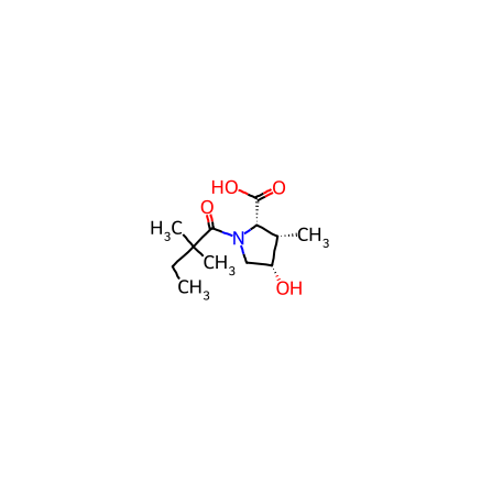 CCC(C)(C)C(=O)N1C[C@@H](O)[C@@H](C)[C@H]1C(=O)O